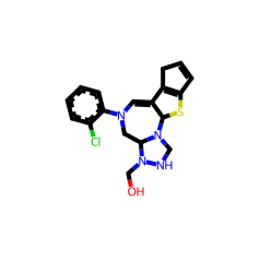 OCN1NCN2C3SC4=C(CC=C4)C3=CN(c3ccccc3Cl)CC12